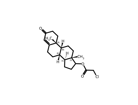 C[C@]12CCC(=O)C=C1CC[C@@H]1[C@H]2CC[C@]2(C)C(OC(=O)CCl)CC[C@@H]12